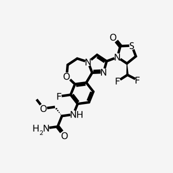 COC[C@H](Nc1ccc2c(c1F)OCCn1cc(N3C(=O)SC[C@H]3C(F)F)nc1-2)C(N)=O